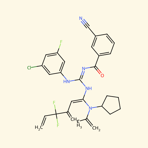 C=CC(F)(F)C(=C)/C=C(/N/C(=N\C(=O)c1cccc(C#N)c1)Nc1cc(F)cc(Cl)c1)N(C(=C)C)C1CCCC1